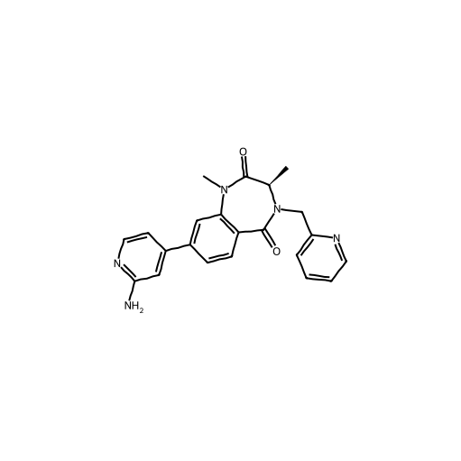 C[C@@H]1C(=O)N(C)c2cc(-c3ccnc(N)c3)ccc2C(=O)N1Cc1ccccn1